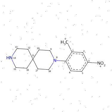 Cc1cc([N+](=O)[O-])ccc1N1CCC2(CCNCC2)CC1